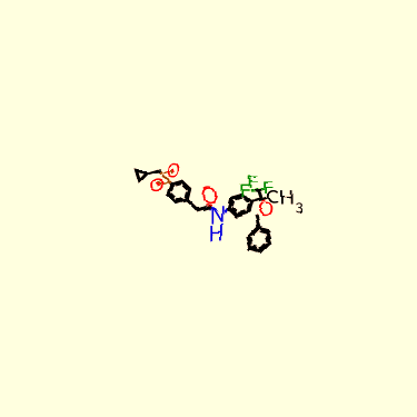 CC(OCc1ccccc1)(c1ccc(NC(=O)Cc2ccc(S(=O)(=O)CC3CC3)cc2)cc1)C(F)(F)F